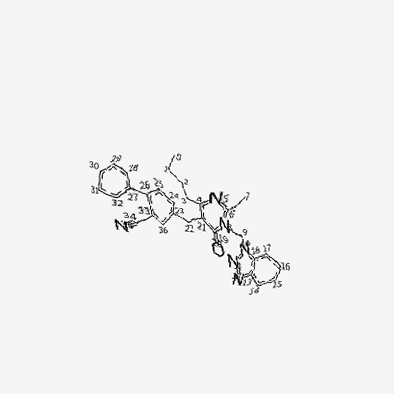 CCCCc1nc(C)n(Cn2nnc3ccccc32)c(=O)c1Cc1ccc(-c2ccccc2)c(C#N)c1